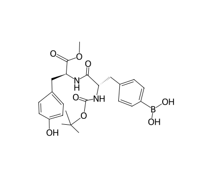 COC(=O)[C@H](Cc1ccc(O)cc1)NC(=O)[C@H](Cc1ccc(B(O)O)cc1)NC(=O)OC(C)(C)C